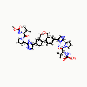 COC(=O)N[C@H](C(=O)N1CCCC1c1nc(-c2ccc3c(c2)COCc2cc(-c4cnc([C@@H]5CCCN5C(=O)[C@@H](NC(=O)O)C(C)C)[nH]4)ccc2-3)c[nH]1)C(C)C